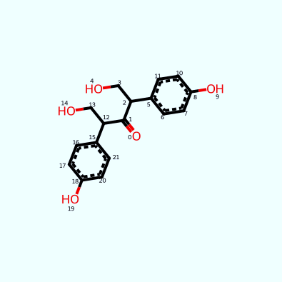 O=C(C(CO)c1ccc(O)cc1)C(CO)c1ccc(O)cc1